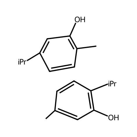 Cc1ccc(C(C)C)c(O)c1.Cc1ccc(C(C)C)cc1O